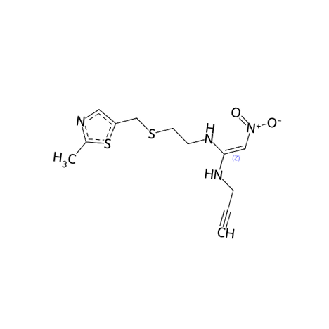 C#CCN/C(=C/[N+](=O)[O-])NCCSCc1cnc(C)s1